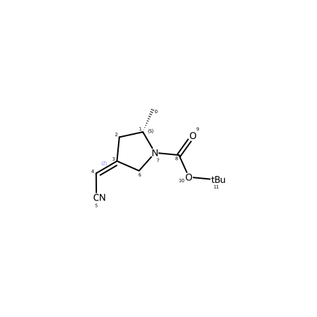 C[C@H]1C/C(=C/C#N)CN1C(=O)OC(C)(C)C